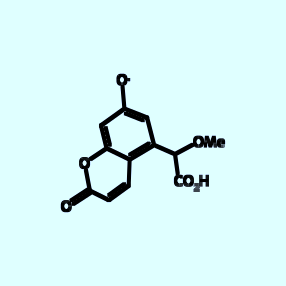 COC(C(=O)O)c1cc([O])cc2oc(=O)ccc12